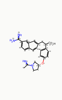 CC(=N)N1CC[C@@H](Oc2ccc([C@@H](Cc3ccc4ccc(C(=N)N)cc4c3)C(=O)O)cc2)C1